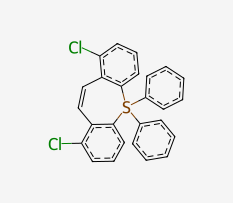 Clc1cccc2c1C=Cc1c(Cl)cccc1S2(c1ccccc1)c1ccccc1